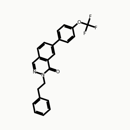 O=c1c2cc(-c3ccc(OC(F)(F)F)cc3)ccc2cnn1CCc1ccccc1